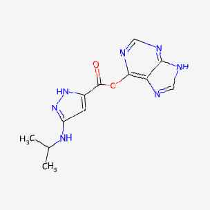 CC(C)Nc1cc(C(=O)Oc2ncnc3[nH]cnc23)[nH]n1